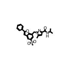 Cc1cc(C(=O)NC(C)C)nn1Cc1cc(S(C)(=O)=O)cc2cc(-c3ccccc3)oc12